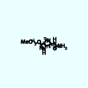 COCCOc1n[nH]c2cc(NC(N)=O)ncc12